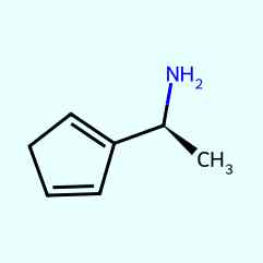 C[C@H](N)C1=CCC=C1